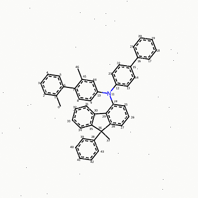 Cc1ccccc1-c1ccc(N(c2ccc(-c3ccccc3)cc2)c2cccc3c2-c2ccccc2C3(C)c2ccccc2)cc1C